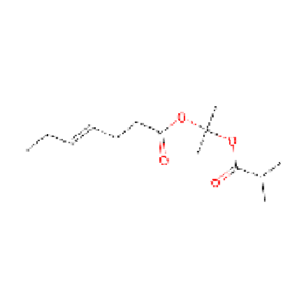 CCC=CCCC(=O)OC(C)(C)OC(=O)C(C)C